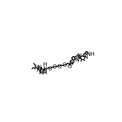 CCCN(CCC)c1ncc(C(=O)NCCOCCOCCOCCOCCC(=O)N2CCc3cc(CN4N=C(c5cnc6[nH]ccc6c5)C(=C(/C)C(C)C)/C4=N\C)ccc3C2)c(NC)n1